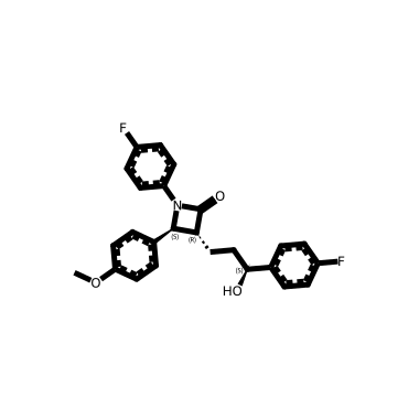 COc1ccc([C@@H]2[C@@H](CC[C@H](O)c3ccc(F)cc3)C(=O)N2c2ccc(F)cc2)cc1